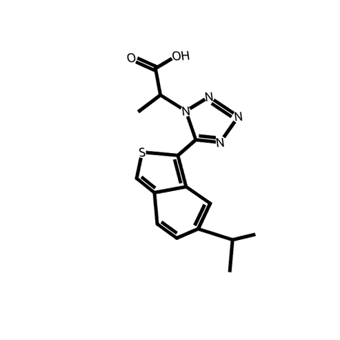 CC(C)c1ccc2csc(-c3nnnn3C(C)C(=O)O)c2c1